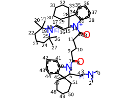 CN(C)/C=C/C1N(C(=O)CCCC(=O)[N+]2=C(/C=C/N3C(C)(C)CCCC3(C)C)C3(CCCCC3)c3ccccc32)c2ccccc2C12CCCCC2